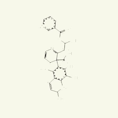 Cc1c(C)c(C2(C(=O)O)CC=CN=C2CC(C)OC(=O)c2cccnc2)c(C)c2c1OC(C)C=C2